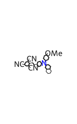 COc1ccc(N(c2ccc(C=Cc3c(C#N)cc(C#N)cc3C#N)cc2)c2ccc3c(c2)CCCC3)cc1